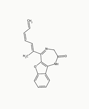 C=C/C=C\C=C(/C)C1=NCC(=O)Nc2c1oc1ccccc21